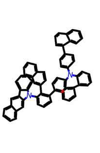 c1ccc(-c2ccccc2N(c2ccc(-c3cccc(-n4c5ccccc5c5cc6ccccc6cc54)c3-c3ccc4ccccc4c3)cc2)c2ccc(-c3cccc4ccccc34)cc2)cc1